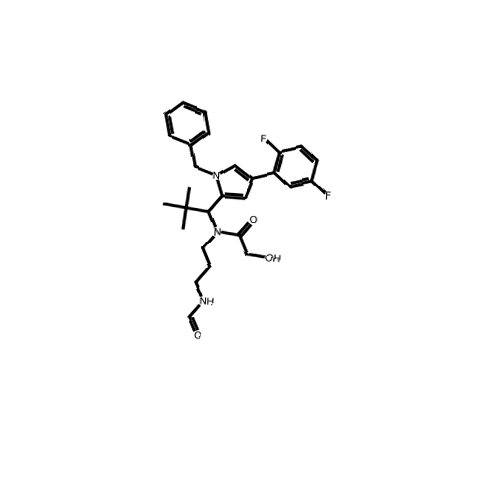 CC(C)(C)C(c1cc(-c2cc(F)ccc2F)cn1Cc1ccccc1)N(CCCNC=O)C(=O)CO